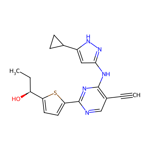 C#Cc1cnc(-c2ccc([C@@H](O)CC)s2)nc1Nc1cc(C2CC2)[nH]n1